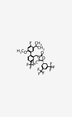 COc1cc(F)c(C(C)C)cc1-c1ccc(C(F)(F)F)cc1CN1C(=O)O[C@H](C2C=C(C(F)(F)F)C=C(C(F)(F)F)C2)[C@@H]1C